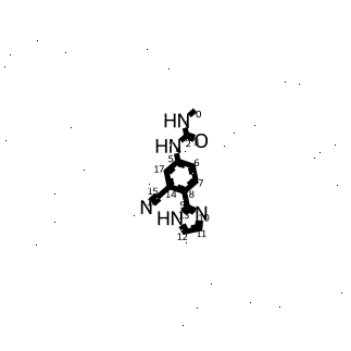 CNC(=O)Nc1ccc(-c2ncc[nH]2)c(C#N)c1